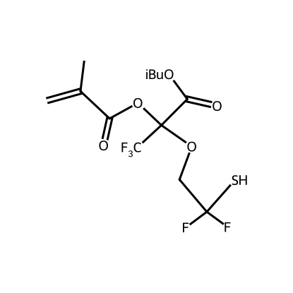 C=C(C)C(=O)OC(OCC(F)(F)S)(C(=O)OCC(C)C)C(F)(F)F